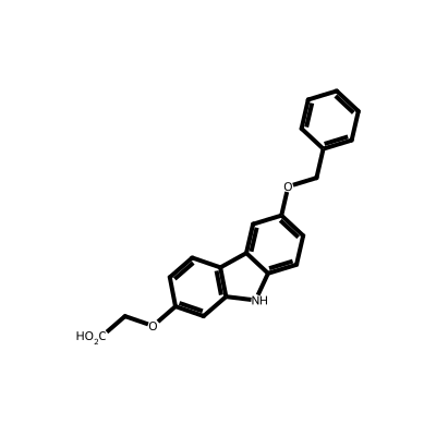 O=C(O)COc1ccc2c(c1)[nH]c1ccc(OCc3ccccc3)cc12